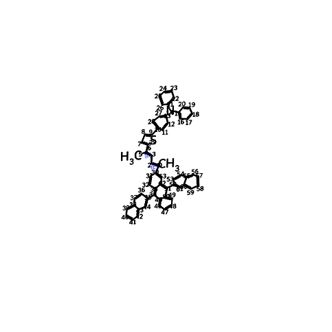 C/C(=C\C=C(/C)c1ccc(-c2ccc(N(c3ccccc3)c3ccccc3)cc2)s1)c1ccc2c(-c3ccc4ccccc4c3)c3ccccc3c(-c3ccc4ccccc4c3)c2c1